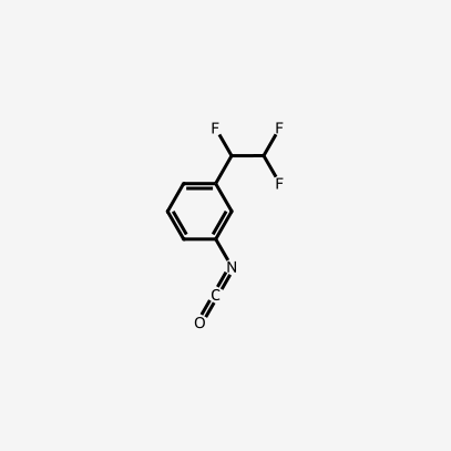 O=C=Nc1cccc(C(F)C(F)F)c1